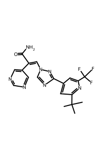 CC(C)(C)c1cc(-c2ncn(/C=C(/C(N)=O)c3cncnc3)n2)cc(C(F)(F)F)n1